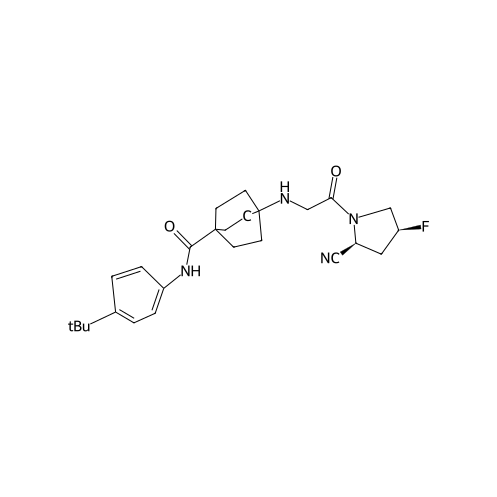 CC(C)(C)c1ccc(NC(=O)C23CCC(NCC(=O)N4C[C@@H](F)C[C@H]4C#N)(CC2)CC3)cc1